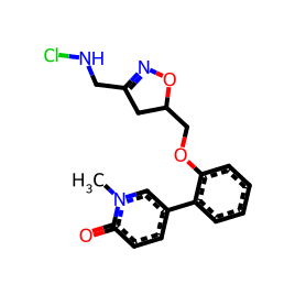 Cn1cc(-c2ccccc2OCC2CC(CNCl)=NO2)ccc1=O